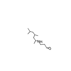 CC(C)CC(C)CC(C)NCCC=O